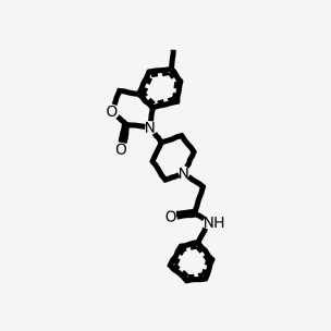 Cc1ccc2c(c1)COC(=O)N2C1CCN(CC(=O)Nc2ccccc2)CC1